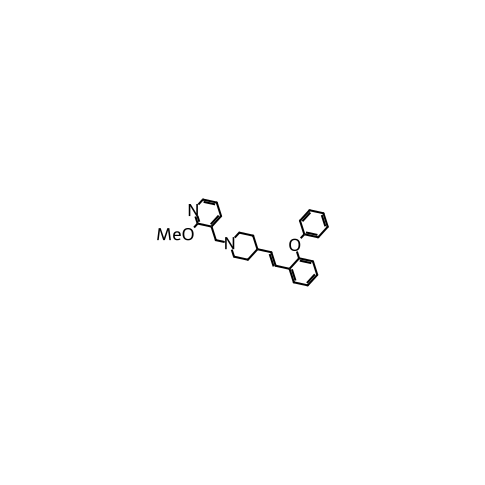 COc1ncccc1CN1CCC(C=Cc2ccccc2Oc2ccccc2)CC1